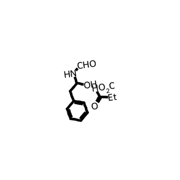 CCC(=O)C(=O)O.O=CNC(O)Cc1ccccc1